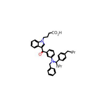 CCCC(c1ccc(CC(C)C)cc1)N(Cc1ccccc1)c1cccc(C(=O)c2cn(CCCC(=O)O)c3ccccc23)c1